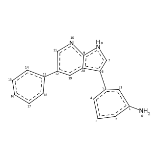 Nc1cccc(-c2c[nH]c3ncc(-c4ccccc4)cc23)c1